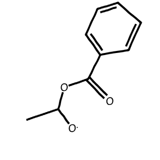 CC([O])OC(=O)c1ccccc1